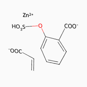 C=CC(=O)[O-].O=C([O-])c1ccccc1OS(=O)(=O)O.[Zn+2]